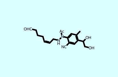 CC(=O)N(NC/C=C\CCCC=O)c1cc(C)c(C(O)CO)cc1C#N